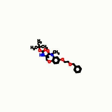 CN1C(=O)[C@@H](NC(=O)OC(C)(C)C)COc2ccc(OCCOCc3ccccc3)cc21